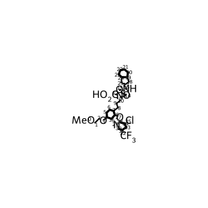 COCCOc1ccc(CCCN(C(=O)O)S(=O)(=O)NC2Cc3ccccc3C2)c(Oc2ncc(C(F)(F)F)cc2Cl)c1